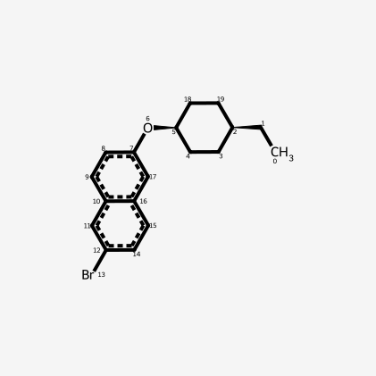 CC[C@H]1CC[C@@H](Oc2ccc3cc(Br)ccc3c2)CC1